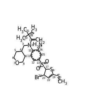 C=C(N(CC1CCOCC1)c1ccc(S(=O)(=O)C2SC(SC)=CC2Br)cc1N)C(C)(C)C